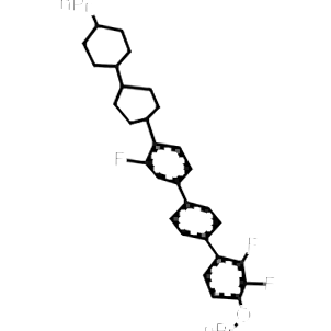 CCCOc1ccc(-c2ccc(-c3ccc(C4CCC(C5CCC(CCC)CC5)CC4)c(F)c3)cc2)c(F)c1F